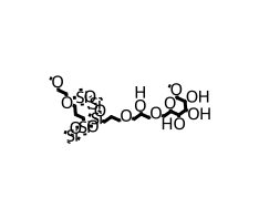 COCCOCCC[Si](C)(O[Si](C)(C)C)O[Si](C)(CCCOCC(O)COCC1OC(OC)C(O)C(O)C1O)O[Si](C)(C)O[Si](C)(C)C